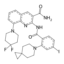 NC(=O)c1cc2cccc(N3CCC(F)(F)CC3)c2nc1NC(=O)c1ccc(I)cc1N1CCC2(CC1)CC2